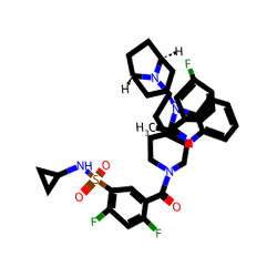 Cc1nc2ccccc2n1[C@H]1C[C@H]2CC[C@@H](C1)N2CCC1(c2cccc(F)c2)CCN(C(=O)c2cc(S(=O)(=O)NC3CC3)c(F)cc2F)CC1